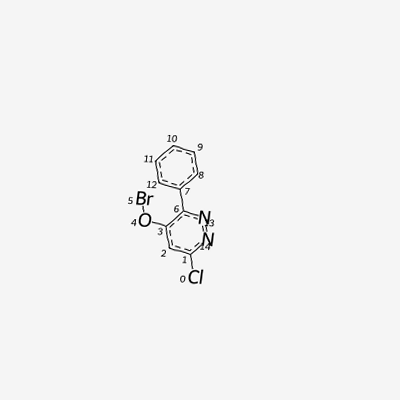 Clc1cc(OBr)c(-c2ccccc2)nn1